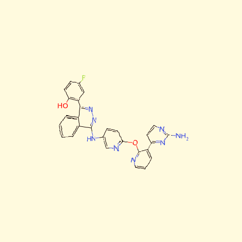 Nc1nccc(-c2cccnc2Oc2ccc(Nc3nnc(-c4cc(F)ccc4O)c4ccccc34)cn2)n1